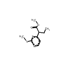 CCC(C(=O)OC)c1ccnc(SC)n1